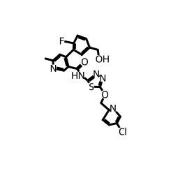 Cc1cc(-c2cc(CO)ccc2F)c(C(=O)Nc2nnc(OCc3ccc(Cl)cn3)s2)cn1